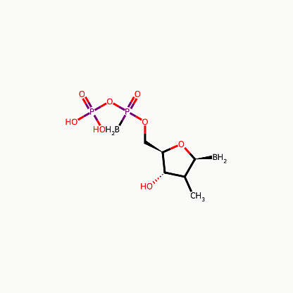 B[C@@H]1O[C@H](COP(B)(=O)OP(=O)(O)O)[C@@H](O)C1C